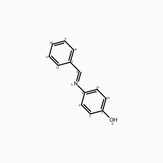 Oc1ccc(/N=C/c2ccccc2)cc1